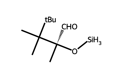 CC(C)(C)C(C)(C)[C@@](C)(C=O)O[SiH3]